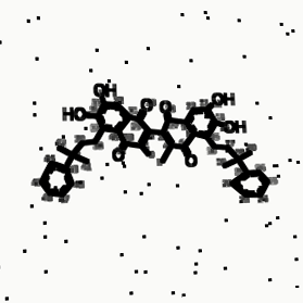 CC1=C(C2=C(C)C(=O)c3c(cc(O)c(O)c3CCC(C)(C)c3ccccc3)C2=O)C(=O)c2cc(O)c(O)c(CCC(C)(C)c3ccccc3)c2C1=O